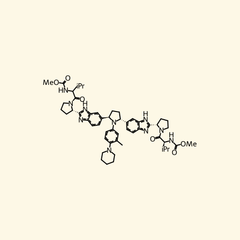 COC(=O)NC(C(=O)N1CCC[C@H]1c1nc2ccc([C@H]3CC[C@H](c4ccc5nc([C@@H]6CCCN6C(=O)[C@@H](NC(=O)OC)C(C)C)[nH]c5c4)N3c3ccc(N4CCCCC4)c(C)c3)cc2[nH]1)C(C)C